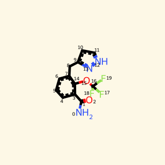 NC(=O)c1cccc(Cc2cc[nH]n2)c1OC(F)(F)F